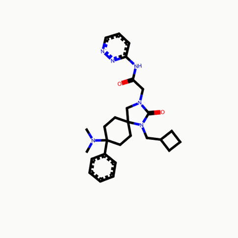 CN(C)C1(c2ccccc2)CCC2(CC1)CN(CC(=O)Nc1cccnn1)C(=O)N2CC1CCC1